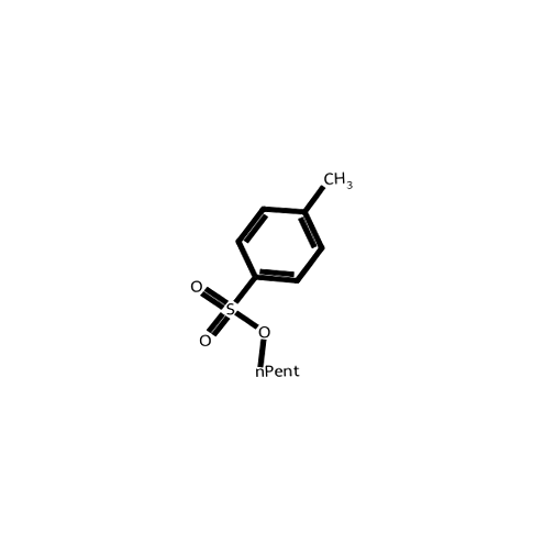 C[CH]CCCOS(=O)(=O)c1ccc(C)cc1